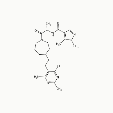 Cc1nc(N)c(CCC2CCCN(C(=O)[C@H](C)NC(=O)c3cnn(C)c3C)CC2)c(Cl)n1